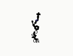 CCN(C/C=C/C#CC(C)(C)C)Cc1cccc(OCc2cc(-c3cnco3)cs2)c1